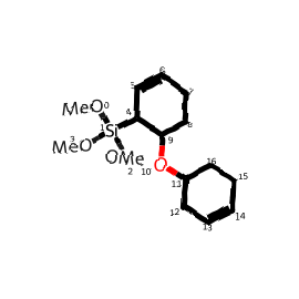 CO[Si](OC)(OC)C1C=CCCC1OC1CC=CCC1